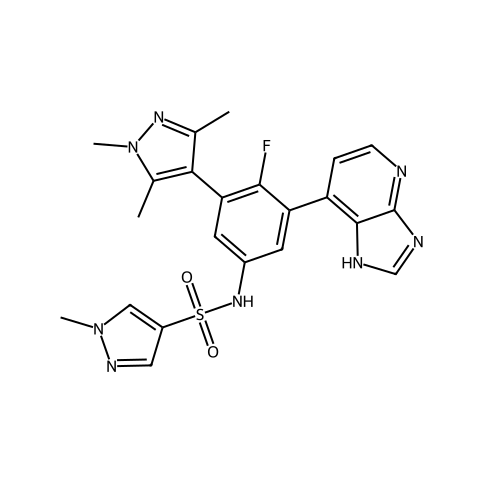 Cc1nn(C)c(C)c1-c1cc(NS(=O)(=O)c2cnn(C)c2)cc(-c2ccnc3nc[nH]c23)c1F